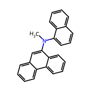 CN(c1cccc2ccccc12)c1cc2ccccc2c2ccccc12